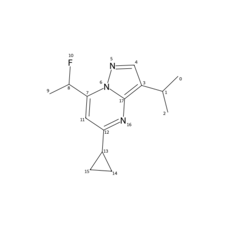 CC(C)c1cnn2c(C(C)F)cc(C3CC3)nc12